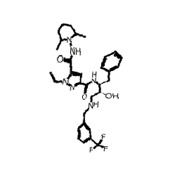 CCn1nc(C(=O)N[C@@H](Cc2ccccc2)[C@H](O)CNCc2cccc(C(F)(F)F)c2)cc1C(=O)NN1C(C)CCCC1C